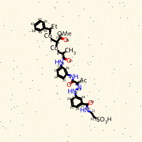 CC[CH]([Co][CH2][CH]([Co][CH2]C(C)C(=O)Nc1cccc(NC(=O)/C(=N\Nc2cccc(C(=O)NCCS(=O)(=O)O)c2)C(C)=O)c1)C(=O)OC)c1ccccc1